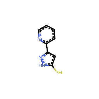 Sc1cc(-c2ccccn2)n[nH]1